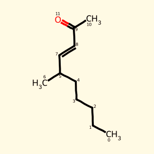 CCCCCC(C)/C=C/C(C)=O